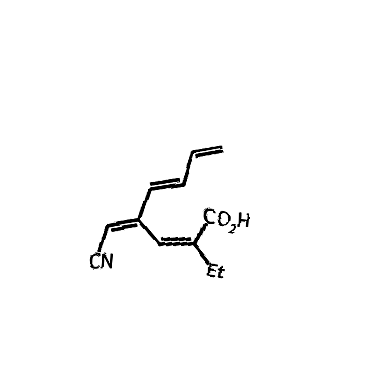 C=CC=CC(=CC#N)C=C(CC)C(=O)O